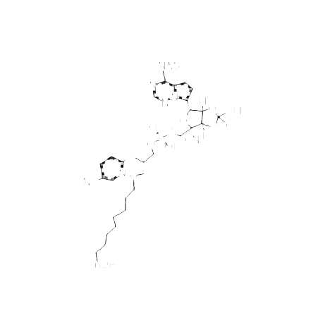 CCCCCCCCCCCCCCCCCCOC[C@@H](COP(=O)(O)OC[C@@]1(C#N)O[C@@H](c2ccc3c(NC)ncnn23)[C@@H]2OC(C)(C)O[C@@H]21)Oc1ccc(C#N)cn1